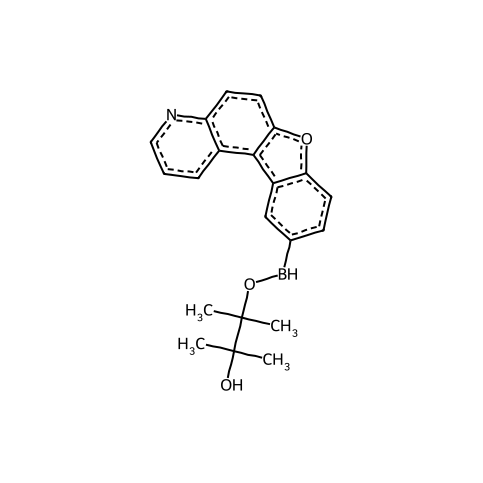 CC(C)(O)C(C)(C)OBc1ccc2oc3ccc4ncccc4c3c2c1